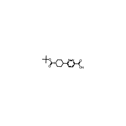 CC(C)(C)OC(=O)N1CCC(c2ccc(C(=O)O)nn2)CC1